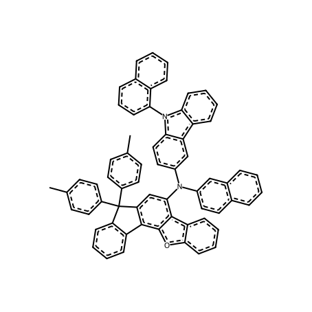 Cc1ccc(C2(c3ccc(C)cc3)c3ccccc3-c3c2cc(N(c2ccc4ccccc4c2)c2ccc4c(c2)c2ccccc2n4-c2cccc4ccccc24)c2c3oc3ccccc32)cc1